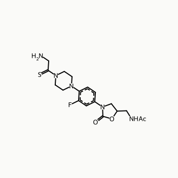 CC(=O)NCC1CN(c2ccc(N3CCN(C(=S)CN)CC3)c(F)c2)C(=O)O1